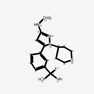 CCCC(F)(P)c1cccc(-c2cc(NC=O)nn2C2CCOCC2)c1